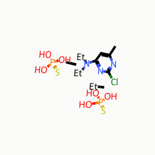 CC.CCC.CCN(CC)c1cc(C)nc(Cl)n1.OP(O)(O)=S.OP(O)(O)=S